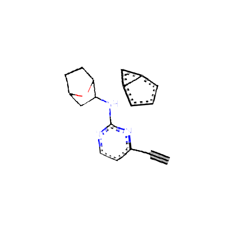 C#Cc1ccnc(NC2CC3CCC2O3)n1.c1cc2cc-2c1